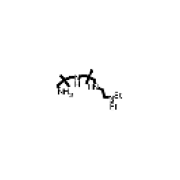 CCN(CC)CCNCC(C)(C)CNCC(C)(C)CN